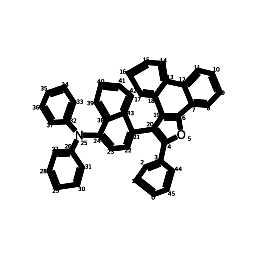 c1ccc(-c2oc3c4ccccc4c4ccccc4c3c2-c2ccc(N(c3ccccc3)c3ccccc3)c3ccccc23)cc1